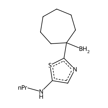 BC1(c2ncc(NCCC)s2)CCCCCC1